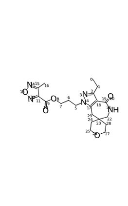 CCc1nn(CCCOC(=O)c2nonc2C)c2c1C(=O)NCC1(CCOCC1)C2